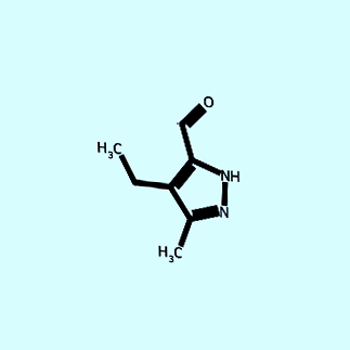 CCc1c(C)n[nH]c1[C]=O